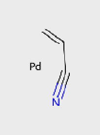 C=CC#N.[Pd]